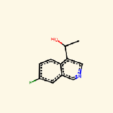 CC(O)c1cncc2cc(F)ccc12